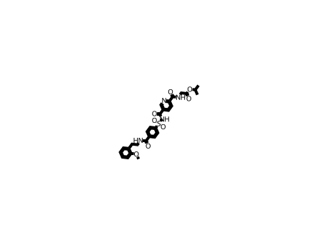 COc1ccccc1CCNC(=O)c1ccc(S(=O)(=O)NC(=O)c2ccc(C(=O)NCC(=O)OC(C)C)nc2)cc1